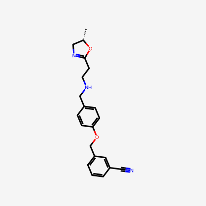 C[C@H]1CN=C(CCNCc2ccc(OCc3cccc(C#N)c3)cc2)O1